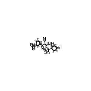 N#CC1=C(N)N2C(c3ccc(Cl)cc3)=CSC2=NC1c1cccc([N+](=O)[O-])c1